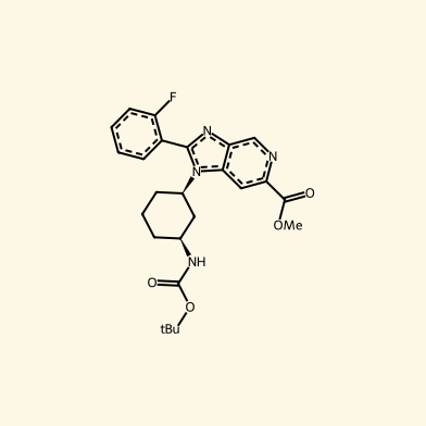 COC(=O)c1cc2c(cn1)nc(-c1ccccc1F)n2[C@@H]1CCC[C@H](NC(=O)OC(C)(C)C)C1